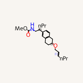 CCC/C=C/CO[C@H]1CCc2cc([C@@H](CCC)CNC(=O)OC)ccc2C1